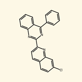 Clc1ccc2ccc(-c3nc(-c4ccccc4)c4ccccc4n3)nc2c1